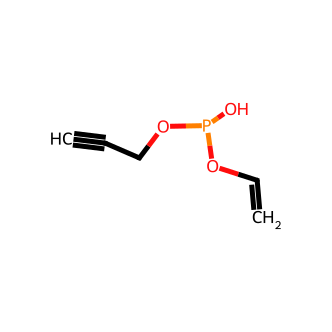 C#CCOP(O)OC=C